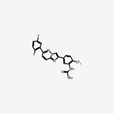 CC(C)(C)C(=O)Nc1cc(-c2cn3nc(-c4cc(F)ccc4F)ccc3n2)ccc1C(F)(F)F